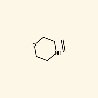 C1COCCN1.C=C